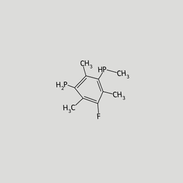 CPc1c(C)c(F)c(C)c(P)c1C